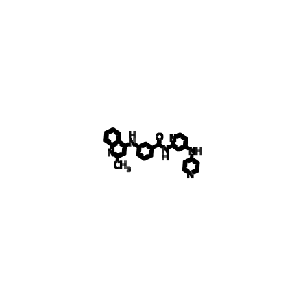 Cc1cc(Nc2cccc(C(=O)Nc3cc(Nc4ccncc4)ccn3)c2)c2ccccc2n1